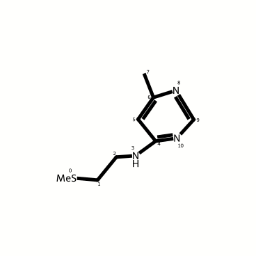 CSCCNc1cc(C)ncn1